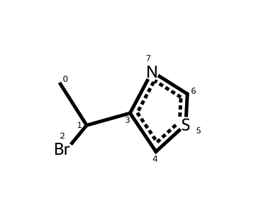 CC(Br)c1cscn1